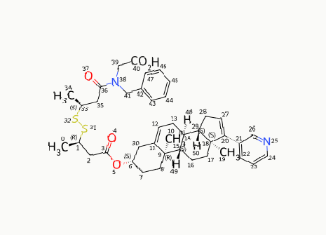 C[C@H](CC(=O)O[C@H]1CC[C@@]2(C)C(=CC[C@@H]3[C@@H]2CC[C@]2(C)C(c4cccnc4)=CC[C@@H]32)C1)SS[C@@H](C)CC(=O)N(CC(=O)O)Cc1ccccc1